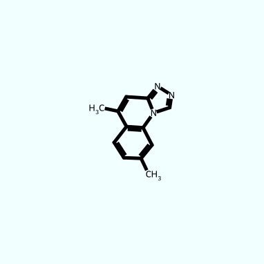 Cc1ccc2c(C)cc3nncn3c2c1